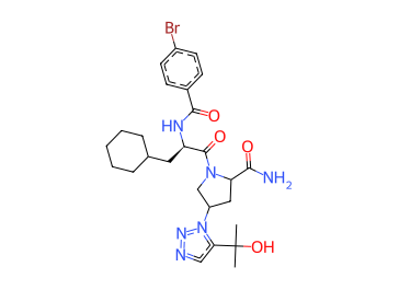 CC(C)(O)c1cnnn1C1CC(C(N)=O)N(C(=O)[C@@H](CC2CCCCC2)NC(=O)c2ccc(Br)cc2)C1